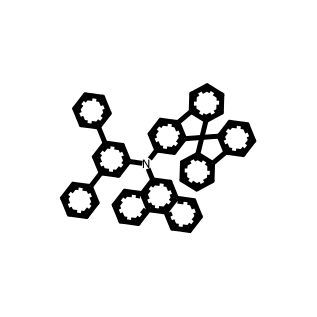 c1ccc(-c2cc(-c3ccccc3)cc(N(c3ccc4c(c3)C3(c5ccccc5-c5ccccc53)c3ccccc3-4)c3cc4ccccc4c4ccccc34)c2)cc1